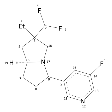 CCC1(C(F)F)C[C@@H]2CCC(c3cncc(F)c3)N2C1